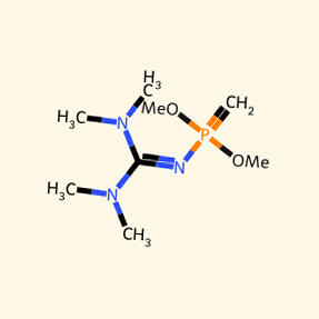 C=P(N=C(N(C)C)N(C)C)(OC)OC